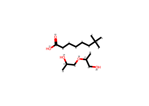 CC(C)(C)CCCCCC(=O)O.CC(O)COC(C)CO